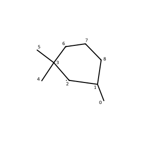 CC1[CH]C(C)(C)CCC1